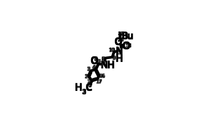 Cc1ccc(C(=O)NCCCNC(=O)OC(C)(C)C)cc1